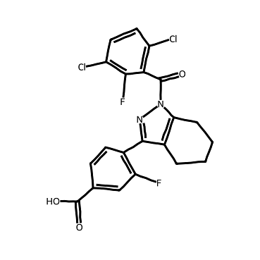 O=C(O)c1ccc(-c2nn(C(=O)c3c(Cl)ccc(Cl)c3F)c3c2CCCC3)c(F)c1